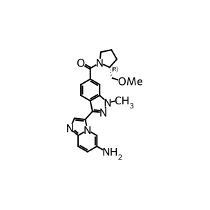 COC[C@H]1CCCN1C(=O)c1ccc2c(-c3cnc4ccc(N)cn34)nn(C)c2c1